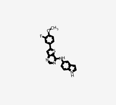 COc1ccc(-c2cc3ncnc(Nc4ccc5[nH]ccc5c4)c3s2)cc1F